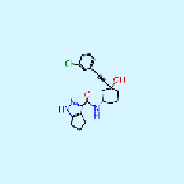 O=C(N[C@H]1CCC[C@@](O)(C#Cc2cccc(Cl)c2)C1)c1n[nH]c2c1CCC2